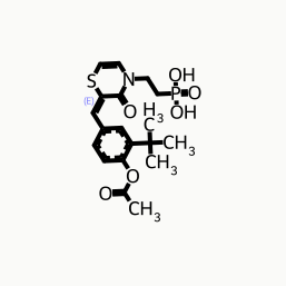 CC(=O)Oc1ccc(/C=C2/SC=CN(CCP(=O)(O)O)C2=O)cc1C(C)(C)C